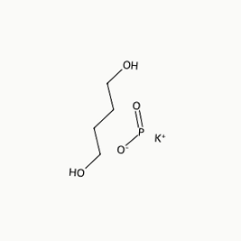 O=P[O-].OCCCCO.[K+]